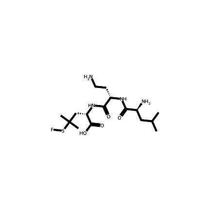 CC(C)C[C@H](N)C(=O)N[C@@H](CCN)C(=O)N[C@@H](CC(C)(C)SF)C(=O)O